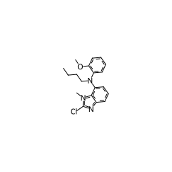 CCCCN(c1ccccc1OC)c1cccc2nc(Cl)n(C)c12